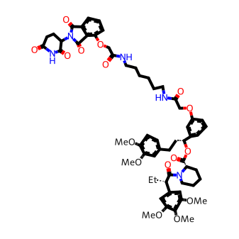 CC[C@H](C(=O)N1CCCC[C@H]1C(=O)O[C@H](CCc1ccc(OC)c(OC)c1)c1cccc(OCC(=O)NCCCCCCNC(=O)COc2cccc3c2C(=O)N(C2CCC(=O)NC2=O)C3=O)c1)c1cc(OC)c(OC)c(OC)c1